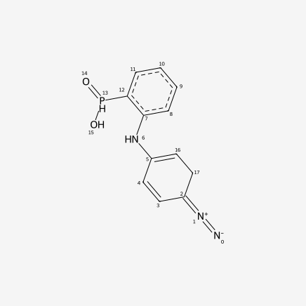 [N-]=[N+]=C1C=CC(Nc2ccccc2[PH](=O)O)=CC1